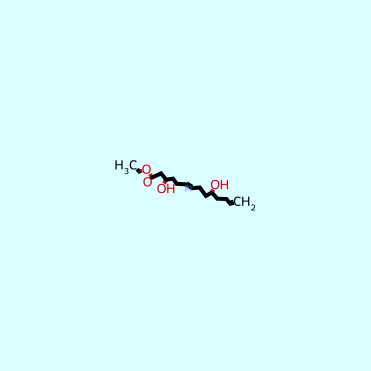 C=CCCC(O)CC/C=C/CCC(O)CC(=O)OCC